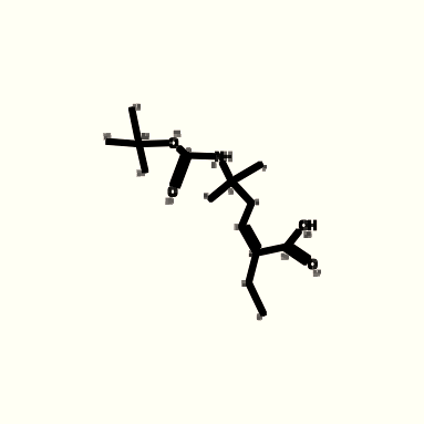 CCC(=CCC(C)(C)NC(=O)OC(C)(C)C)C(=O)O